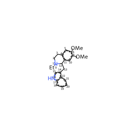 CCN1CCc2cc(OC)c(OC)cc2C1Cc1c[nH]c2ccccc12